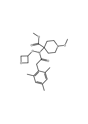 COC(=O)C1(N(OC2COC2)C(=O)Cc2c(C)cc(C)cc2C)CCN(OC)CC1